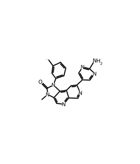 [CH2]c1cccc(-n2c(=O)n(C)c3cnc4cnc(-c5cnc(N)nc5)cc4c32)c1